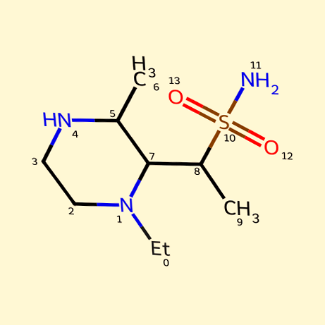 CCN1CCNC(C)C1C(C)S(N)(=O)=O